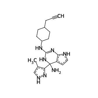 C#CCC1CCC(NC2=Nc3[nH]ccc3C(N)(c3n[nH]cc3C)N2)CC1